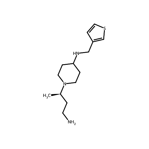 C[C@H](CCN)N1CCC(NCc2ccsc2)CC1